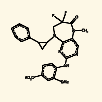 COc1cc(C(=O)O)ccc1Nc1ncc2c(n1)N(C1CC1c1ccccc1)CC(F)(F)C(=O)N2C